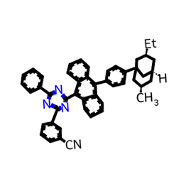 CC[C@H]1C[C@H]2C[C@@H](C)CC(c3ccc(-c4c5ccccc5c(-c5nc(-c6ccccc6)nc(-c6cccc(C#N)c6)n5)c5ccccc45)cc3)(C2)C1